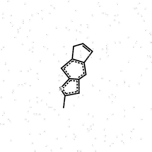 Cc1cc2cc3c(cc2s1)CC=C3